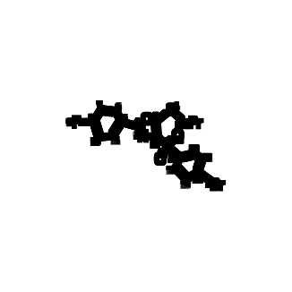 CCCSc1oc(-c2ccc(F)cc2)nc1S(=O)(=O)c1ccc(Br)cc1